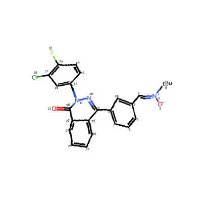 CC(C)(C)/[N+]([O-])=C/c1cccc(-c2nn(-c3ccc(F)c(Cl)c3)c(=O)c3ccccc23)c1